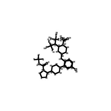 CC(C)(C)OC(=O)N1CCCC1C1CCN(c2cc(Cl)ccc2CN2CCN(C(=O)O)C(C(C(F)(F)F)C(F)(F)F)C2)CC1